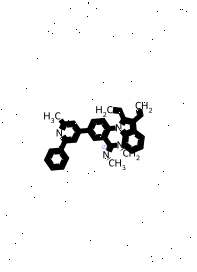 C=Cc1c(C=C)n(-c2ccc(-c3cc(C)nc(-c4ccccc4)c3)cc2/C(N=C)=N/C)c2ccccc12